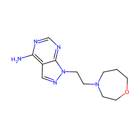 Nc1ncnc2c1cnn2CCN1CCCOCC1